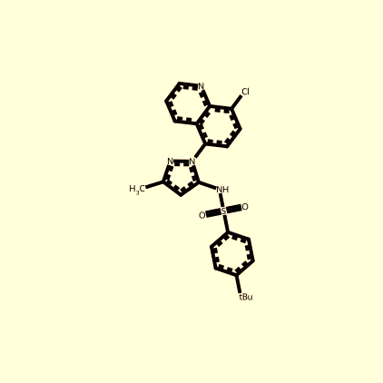 Cc1cc(NS(=O)(=O)c2ccc(C(C)(C)C)cc2)n(-c2ccc(Cl)c3ncccc23)n1